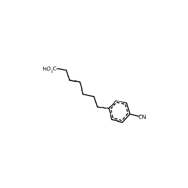 N#Cc1ccc(CCCCCCC(=O)O)cc1